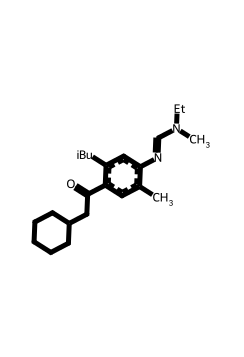 CCC(C)c1cc(/N=C/N(C)CC)c(C)cc1C(=O)CC1CCCCC1